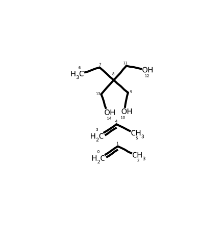 C=CC.C=CC.CCC(CO)(CO)CO